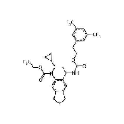 O=C(NC1CC(C2CC2)N(C(=O)OCC(F)(F)F)c2cc3c(cc21)CCC3)OCCc1cc(C(F)(F)F)cc(C(F)(F)F)c1